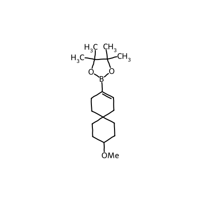 COC1CCC2(CC=C(B3OC(C)(C)C(C)(C)O3)CC2)CC1